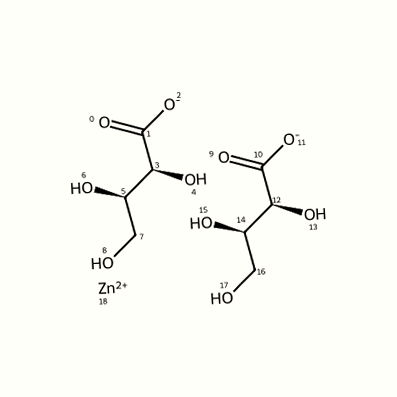 O=C([O-])[C@@H](O)[C@H](O)CO.O=C([O-])[C@@H](O)[C@H](O)CO.[Zn+2]